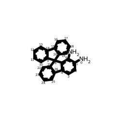 Nc1ccc2c(c1N)C1(c3ccccc3-c3ccccc31)c1ccccc1-2